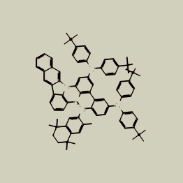 Cc1cc2c(cc1N1B3c4c(cc(N(c5ccc(C(C)(C)C)cc5)c5ccc(C(C)(C)C)cc5)cc4-n4c5cc6ccccc6cc5c5cccc3c54)-c3cc(N(c4ccc(C(C)(C)C)cc4)c4ccc(C(C)(C)C)cc4)ccc31)C(C)(C)CCC2(C)C